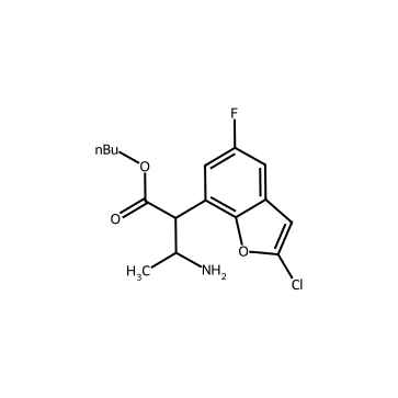 CCCCOC(=O)C(c1cc(F)cc2cc(Cl)oc12)C(C)N